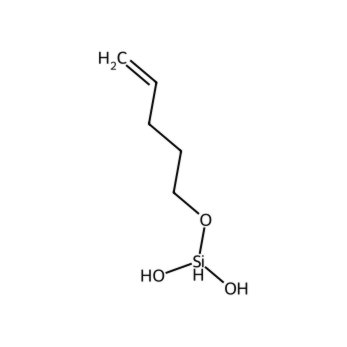 C=CCCCO[SiH](O)O